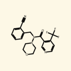 N#Cc1ccccc1CN(C(=O)c1cnccc1C(F)(F)F)N1CCOCC1